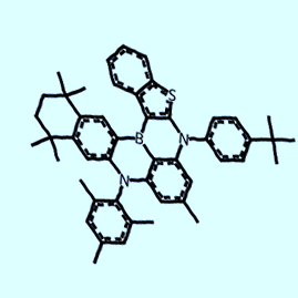 Cc1cc(C)c(N2c3cc4c(cc3B3c5c(cc(C)cc52)N(c2ccc(C(C)(C)C)cc2)c2sc5ccccc5c23)C(C)(C)CCC4(C)C)c(C)c1